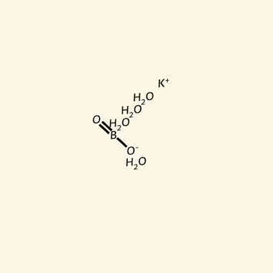 O.O.O.O.O=B[O-].[K+]